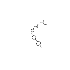 CCC(C)CCCOCC1CN(Cc2ccc(N3CCN(C)CC3)cc2)C1